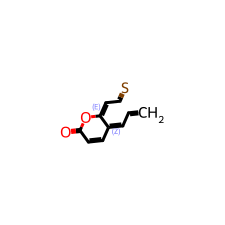 C=C/C=c1/ccc(=O)o/c1=C/C=S